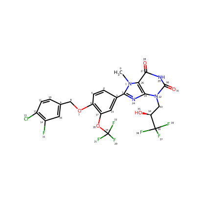 Cn1c(-c2ccc(OCc3ccc(Cl)c(F)c3)c(OC(F)(F)F)c2)nc2c1c(=O)[nH]c(=O)n2C[C@H](O)C(F)(F)F